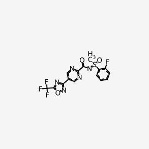 CS(=O)(=NC(=O)c1ncc(-c2noc(C(F)(F)F)n2)cn1)c1ccccc1F